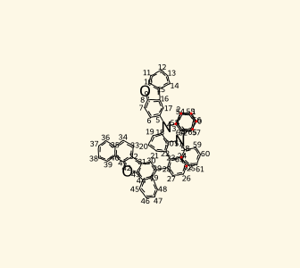 c1ccc(N(c2ccc3oc4ccccc4c3c2)c2cccc(-c3ccccc3-c3cc4c5ccc6ccccc6c5oc4c4ccccc34)c2N(c2ccccc2)c2ccccc2)cc1